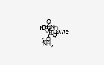 COc1cccc2c1c(C(N)=O)c(C(=O)OC(c1ccccc1)c1ccncc1)n2Cc1cccc(C(N)=S)c1